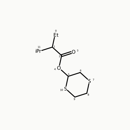 CCC(C(=O)OC1CSCCS1)C(C)C